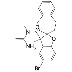 C=C(N)N(C)C(=O)C1(C)c2cc(Br)ccc2OC12CCc1ccccc1CC2